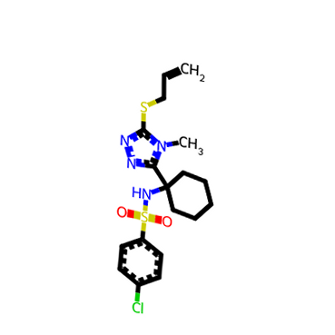 C=CCSc1nnc(C2(NS(=O)(=O)c3ccc(Cl)cc3)CCCCC2)n1C